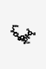 CC(=O)NCCNc1cnc(-n2ccc3cc(N(CP(=O)(O)O)S(=O)(=O)c4cc(Cl)cc(Cl)c4)ccc32)cn1